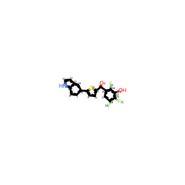 O=C(c1ccc(-c2ccc3[nH]ccc3c2)s1)c1cc(F)c(F)c(O)c1F